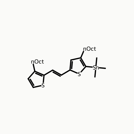 CCCCCCCCc1ccsc1/C=C/c1cc(CCCCCCCC)[c]([Sn]([CH3])([CH3])[CH3])s1